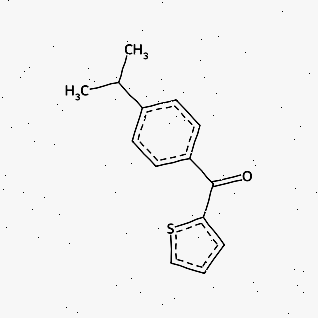 CC(C)c1ccc(C(=O)c2cccs2)cc1